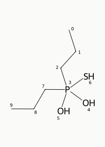 CCCP(O)(O)(S)CCC